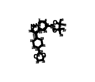 CC1(C)OB(c2ccn3ncc(C4CCC(C5OCCO5)CC4)c3c2)OC1(C)C